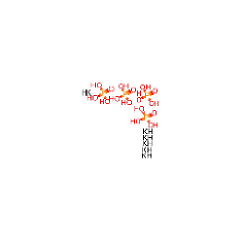 O=P(O)(O)O.O=P(O)(O)O.O=P(O)(O)O.O=P(O)(O)O.[KH].[KH].[KH].[KH].[KH].[KH]